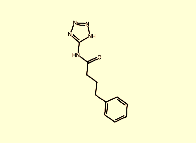 O=C(CCCc1ccccc1)Nc1nnn[nH]1